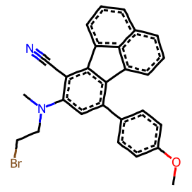 COc1ccc(-c2cc(N(C)CCBr)c(C#N)c3c2-c2cccc4cccc-3c24)cc1